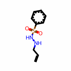 C=CCNNS(=O)(=O)c1cc[c]cc1